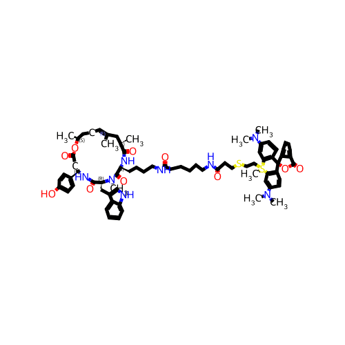 C/C1=C\CC[C@H](C)OC(=O)C[C@H](c2ccc(O)cc2)NC(=O)[C@@H](Cc2c[nH]c3ccccc23)N(C)C(=O)[C@H](CCCCNC(=O)CCCCCNC(=O)CCSCCS2(C)c3cc(N(C)C)ccc3C3(OC(=O)c4ccccc43)c3ccc(N(C)C)cc32)NC(=O)[C@@H](C)C1